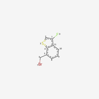 Fc1csc2c(CBr)cccc12